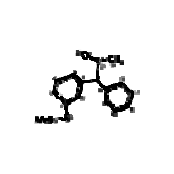 CSSc1cccc(C(c2ccccc2)[S+](C)[O-])c1